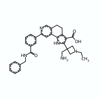 CCN1CC(CN)(c2[nH]c3c(c2C(=O)O)CCc2cnc(-c4cccc(C(=O)NCc5ccccc5)c4)cc2-3)C1